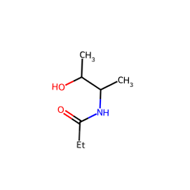 CCC(=O)NC(C)C(C)O